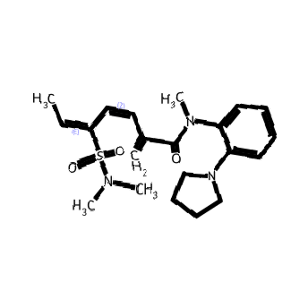 C=C(/C=C\C(=C/C)S(=O)(=O)N(C)C)C(=O)N(C)c1ccccc1N1CCCC1